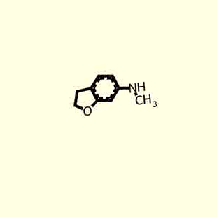 CNc1ccc2c(c1)OCC2